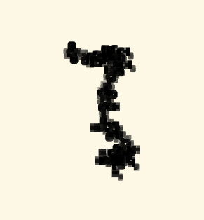 C=C(Nc1ccc(C2=CN3C(=O)c4cc(O)c(OCCCOc5cc6c(cc5O)C(=O)N5C=C(c7ccc(NC(=O)C(C)NC(=O)[C@@H](NC(=O)C(C)(C)COC(C)(C)CNC(=O)CCCN8C(=O)C=CC8=O)C(C)C)cc7)CC5C=N6)cc4N=CC3C2)cc1)[C@H](C)NC(=O)C(NC(=O)C(C)(C)CCO)C(C)C